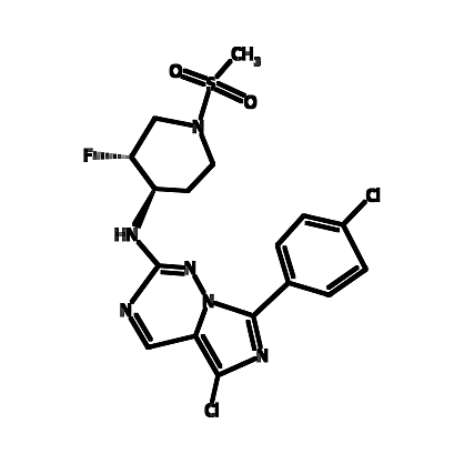 CS(=O)(=O)N1CC[C@@H](Nc2ncc3c(Cl)nc(-c4ccc(Cl)cc4)n3n2)[C@H](F)C1